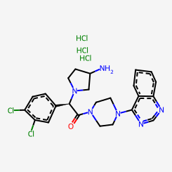 Cl.Cl.Cl.NC1CCN([C@@H](C(=O)N2CCN(c3ncnc4ccccc34)CC2)c2ccc(Cl)c(Cl)c2)C1